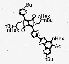 CCCCCCc1c(C(C)=O)c2cc(C(C)(C)C)sc2c2sc(-c3ccc(C4=C5C(=O)N(CC(CCCC)CCCCCC)C(c6ccc(C(C)(C)C)s6)=C5C(=O)N4CC(CCCC)CCCCCC)s3)cc12